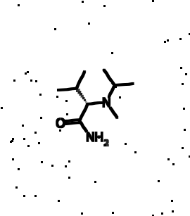 CC(C)[C@@H](C(N)=O)N(C)C(C)C